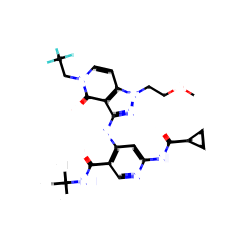 [2H]C([2H])([2H])NC(=O)c1cnc(NC(=O)C2CC2)cc1Nc1nn(CCOC)c2ccn(CC(F)(F)F)c(=O)c12